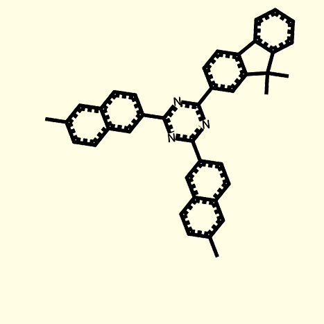 Cc1ccc2cc(-c3nc(-c4ccc5c(c4)C(C)(C)c4ccccc4-5)nc(-c4ccc5cc(C)ccc5c4)n3)ccc2c1